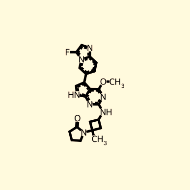 COc1nc(NC2CC(C)(N3CCCC3=O)C2)nc2[nH]cc(-c3ccc4ncc(F)n4c3)c12